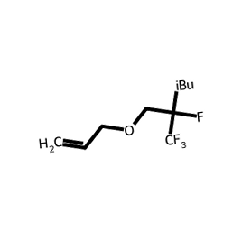 C=CCOCC(F)(C(C)CC)C(F)(F)F